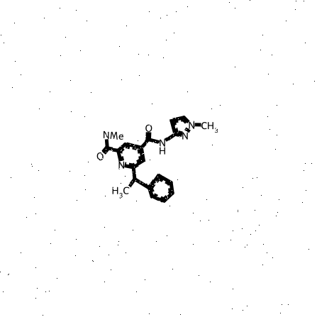 CNC(=O)c1cc(C(=O)Nc2ccn(C)n2)cc(C(C)c2ccccc2)n1